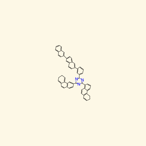 C1=Cc2ccc3c(-c4nc(-c5cccc(-c6ccc7cc(-c8ccc9ccccc9c8)ccc7c6)c5)nc(-c5ccc6ccc7c(c6c5)=CCCC=7)n4)cccc3c2CC1